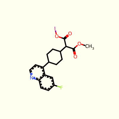 COC(=O)C(C(=O)OI)C1CCC(c2ccnc3ccc(F)cc23)CC1